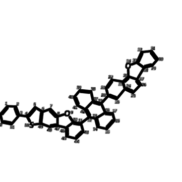 c1ccc(-c2cc3cc4oc5c(-c6c7ccccc7c(-c7ccc8c(ccc9c%10ccccc%10oc89)c7)c7ccccc67)cccc5c4cc3s2)cc1